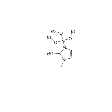 CCCC1N(C)C=CN1[Si](OCC)(OCC)OCC